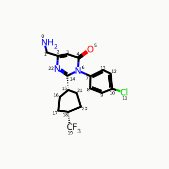 NCc1cc(=O)n(-c2ccc(Cl)cc2)c([C@H]2CC[C@@H](C(F)(F)F)CC2)n1